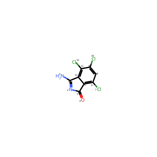 NC1=NC(=O)c2c(Cl)cc(Cl)c(Cl)c21